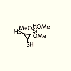 CO[SiH](OC)OC.SC1CC1S